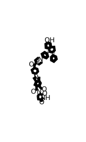 O=C1CCC(N2C(=O)c3cc4c(cc3C2=O)CN(C2CCC(C(=O)N3CCN(c5ccc([C@@H]6c7ccc(O)cc7CC[C@@H]6c6ccccc6)cc5)CC3)CC2)C4)C(=O)N1